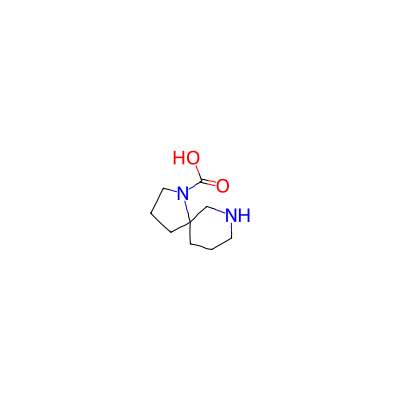 O=C(O)N1CCCC12CCCNC2